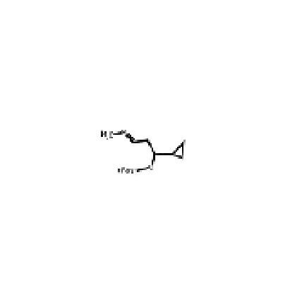 CCCCCOC(C/C=N/C)C1CC1